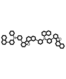 c1ccc(N(c2cccc(-c3cccc4ccccc34)c2)c2cccc(-c3cccc4oc5c6cc(-c7cccc(N(c8cccc(-c9cccc%10oc%11c%12ccccc%12ccc%11c9%10)c8)c8cccc9ccccc89)c7)ccc6ccc5c34)c2)cc1